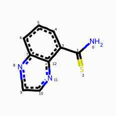 NC(=S)c1cccc2nccnc12